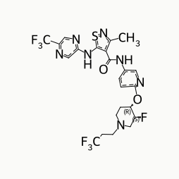 Cc1nsc(Nc2cnc(C(F)(F)F)cn2)c1C(=O)Nc1ccc(O[C@@H]2CCN(CCC(F)(F)F)C[C@@H]2F)nc1